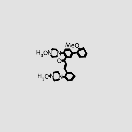 COc1ccccc1-c1ccc(N2CCN(C)CC2)c(C(=O)/C=C/c2ccccc2N2CCN(C)CC2)c1